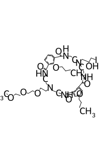 CCCCOc1c2cccc1C(=O)NCCN(CC(O)CI)CCNC(=O)c1cccc(c1OCCCC)C(=O)NCCN(CCOCCOCCOC)CCNC2=O